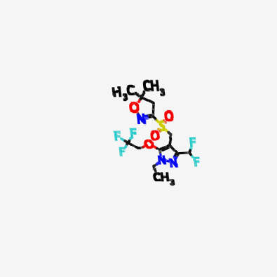 CCn1nc(C(F)F)c(CS(=O)(=O)C2=NOC(C)(C)C2)c1OCC(F)(F)F